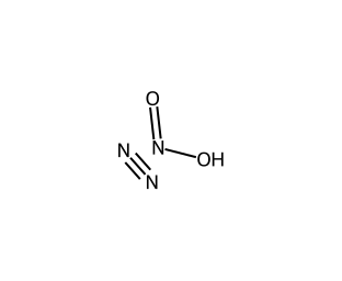 N#N.O=NO